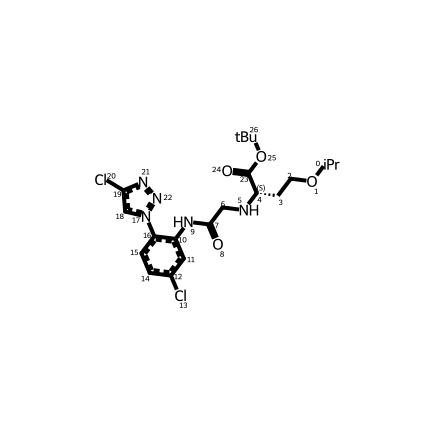 CC(C)OCC[C@H](NCC(=O)Nc1cc(Cl)ccc1-n1cc(Cl)nn1)C(=O)OC(C)(C)C